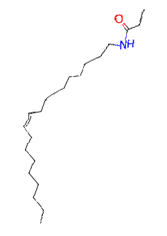 CCCCCCCC/C=C\CCCCCCCCNC(=O)CC